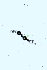 CCCc1ccc(CCc2ccc(C#CC(F)(F)F)c(F)c2)cc1